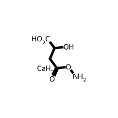 NOC(=O)CC(O)C(=O)O.[CaH2]